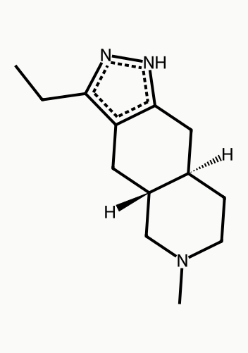 CCc1n[nH]c2c1C[C@H]1CN(C)CC[C@@H]1C2